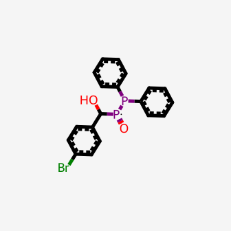 O=[P](C(O)c1ccc(Br)cc1)P(c1ccccc1)c1ccccc1